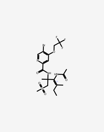 CC/C(C)=C(/NC(C)=O)C(C)(CS(C)(=O)=O)NC(=O)c1cc(OCC(F)(F)F)c(Br)cn1